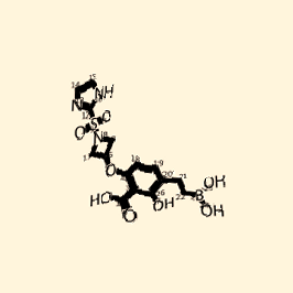 O=C(O)c1c(OC2CN(S(=O)(=O)c3ncc[nH]3)C2)ccc(CCB(O)O)c1O